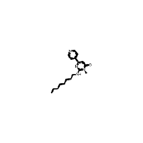 CCCCCCCCNc1nc(-c2ccncc2)cc(=O)n1C